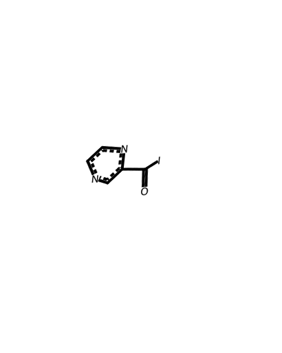 O=C(I)c1cnccn1